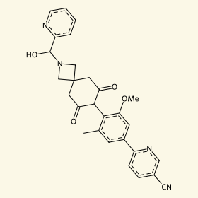 COc1cc(-c2ccc(C#N)cn2)cc(C)c1C1C(=O)CC2(CC1=O)CN(C(O)c1ccccn1)C2